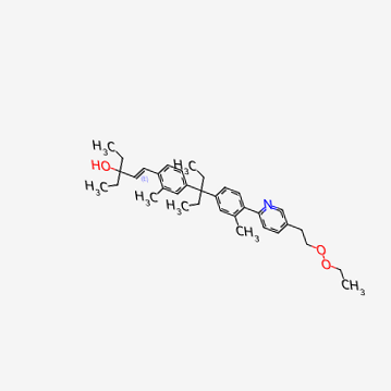 CCOOCCc1ccc(-c2ccc(C(CC)(CC)c3ccc(/C=C/C(O)(CC)CC)c(C)c3)cc2C)nc1